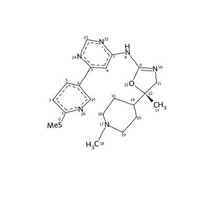 CSc1ccc(-c2cc(NC3=NC[C@](C)(C4CCN(C)CC4)O3)ncn2)cn1